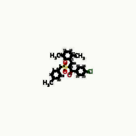 Cc1ccc(CS(=O)(=O)/C(=C\c2cc(C)ccc2C)C(=O)c2ccc(Cl)cc2)cc1